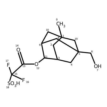 CC12CC3CC(CO)(CC(C1)C3OC(=O)C(F)(F)S(=O)(=O)O)C2